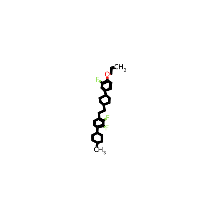 C=CCOc1ccc(C2CCC(CCc3ccc(C4CCC(C)CC4)c(F)c3F)CC2)cc1F